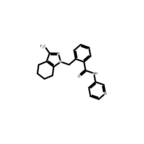 O=C(Nc1cccnc1)c1ccccc1Cn1nc(C(F)(F)F)c2c1CCCC2